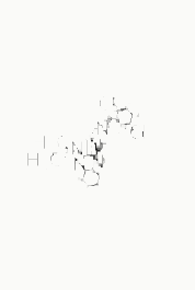 CCC(C)Nc1nc2ccccc2nc1N1CCN(Cc2cc(Cl)ccc2Cl)CC1